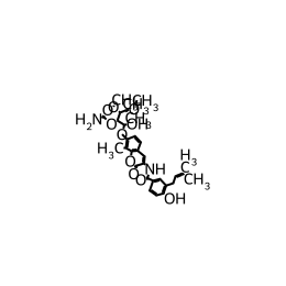 COC(C(OC(N)=O)C(O)Oc1ccc2cc(NC(=O)c3ccc(O)c(CC=C(C)C)c3)c(=O)oc2c1C)C(C)(C)OC